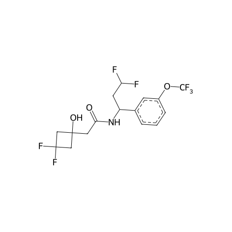 O=C(CC1(O)CC(F)(F)C1)NC(CC(F)F)c1cccc(OC(F)(F)F)c1